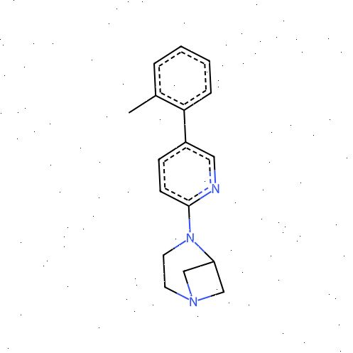 Cc1ccccc1-c1ccc(N2CCN3CC2C3)nc1